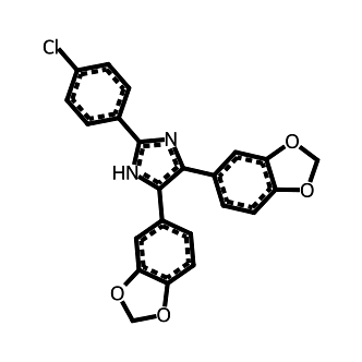 Clc1ccc(-c2nc(-c3ccc4c(c3)OCO4)c(-c3ccc4c(c3)OCO4)[nH]2)cc1